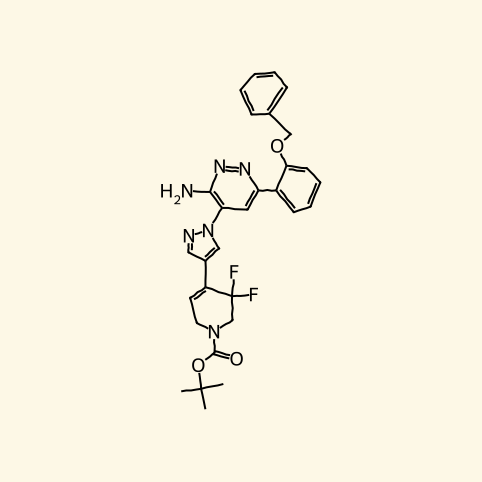 CC(C)(C)OC(=O)N1CC=C(c2cnn(-c3cc(-c4ccccc4OCc4ccccc4)nnc3N)c2)C(F)(F)C1